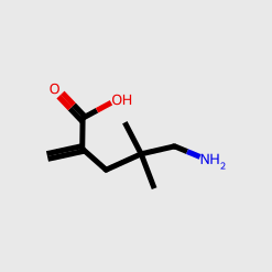 C=C(CC(C)(C)CN)C(=O)O